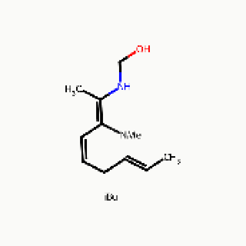 CC=CC(/C=C\C(NC)=C(/C)NCO)[C@H](C)CC